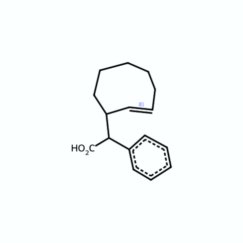 O=C(O)C(c1ccccc1)C1/C=C/CCCCC1